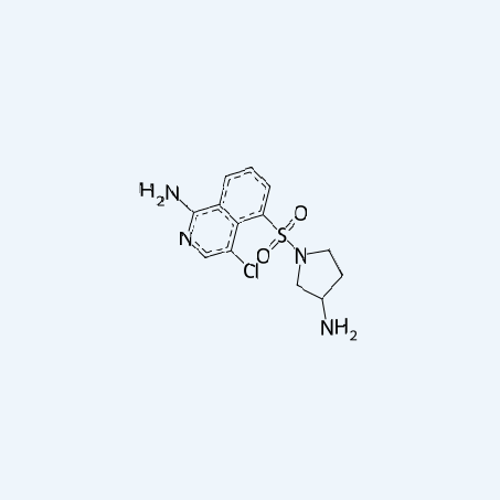 Nc1ncc(Cl)c2c(S(=O)(=O)N3CCC(N)C3)cccc12